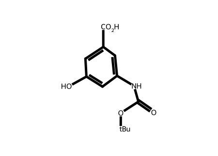 CC(C)(C)OC(=O)Nc1cc(O)cc(C(=O)O)c1